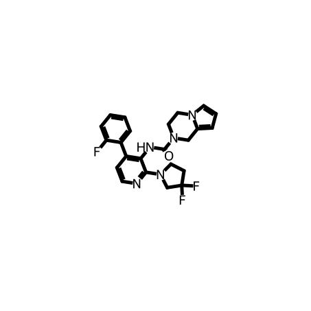 O=C(Nc1c(-c2ccccc2F)ccnc1N1CCC(F)(F)C1)N1CCn2cccc2C1